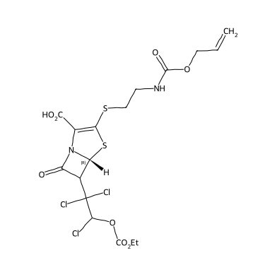 C=CCOC(=O)NCCSC1=C(C(=O)O)N2C(=O)C(C(Cl)(Cl)C(Cl)OC(=O)OCC)[C@H]2S1